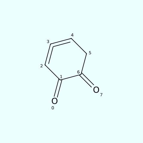 O=C1C=C=CCC1=O